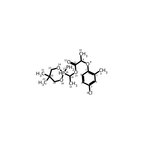 Cc1cc(Cl)ccc1OC(C)C(=O)OC(C)[PH]1(P)OCC(C)(C)CO1